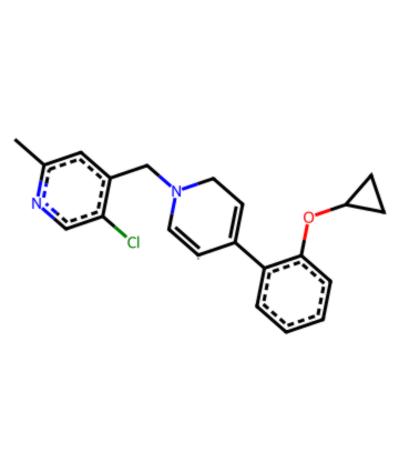 Cc1cc(CN2C=[C]C(c3ccccc3OC3CC3)=CC2)c(Cl)cn1